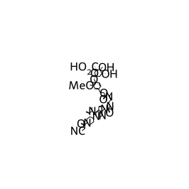 C=C([C@@H]1CCCN(C(=O)CC#N)C1)N(C)c1ncnc2c1ccn2C(=O)N(C)CCN(C)C(=O)OCc1ccc(O[C@H]2C[C@@H](O)[C@H](O)[C@@H](C(=O)O)O2)c(OC)c1